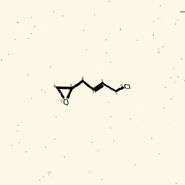 ClCC=CCC1CO1